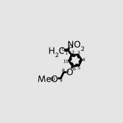 C=C(c1cccc(OCCOC)c1)[N+](=O)[O-]